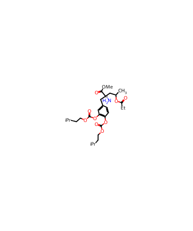 CCC(=O)OC(C)C[C@@](N)(Cc1ccc(OC(=O)OCCC(C)C)c(OC(=O)OCCC(C)C)c1)C(=O)OC